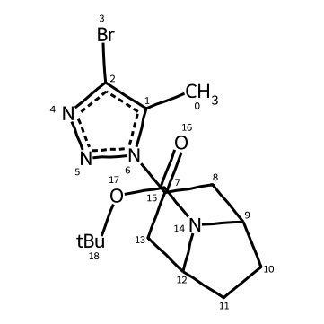 Cc1c(Br)nnn1C1CC2CCC(C1)N2C(=O)OC(C)(C)C